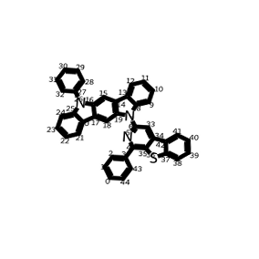 c1ccc(-c2nc(-n3c4ccccc4c4cc5c(cc43)c3ccccc3n5-c3ccccc3)cc3c2sc2ccccc23)cc1